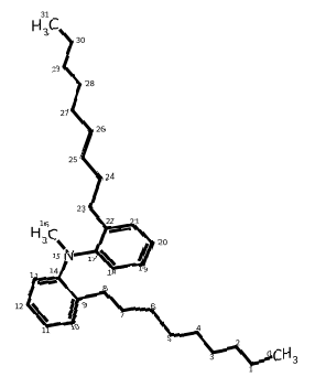 CCCCCCCCCc1ccccc1N(C)c1ccccc1CCCCCCCCC